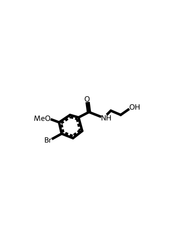 COc1cc(C(=O)NCCO)ccc1Br